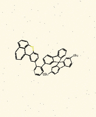 CC(C)(C)c1ccc2c(c1)C1(c3ccccc3-c3ccc(-c4ccccc4-c4ccc5c(c4)-c4cccc6cccc(c46)S5)cc31)c1cc(C(C)(C)C)ccc1-2